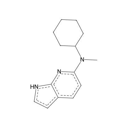 CN(c1ccc2cc[nH]c2n1)C1CCCCC1